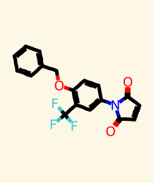 O=C1C=CC(=O)N1c1ccc(OCc2ccccc2)c(C(F)(F)F)c1